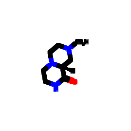 O=C1NCCN2CCN(C(=O)O)C[C@@H]12